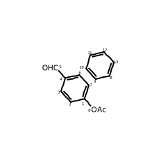 CC(=O)Oc1ccc(C=O)cc1.c1ccccc1